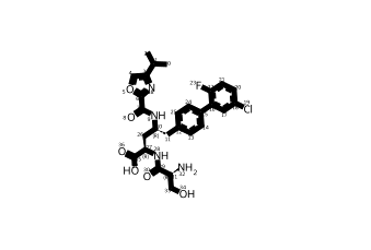 CC(C)c1coc(C(=O)N[C@H](Cc2ccc(-c3cc(Cl)ccc3F)cc2)C[C@@H](NC(=O)[C@H](N)CO)C(=O)O)n1